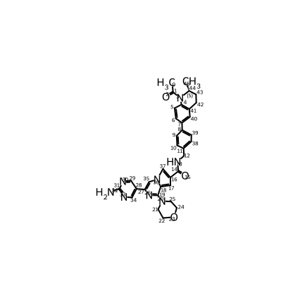 CC(=O)N1c2ccc(-c3ccc(CNC(=O)c4cc5c(N6CCOCC6)nc(-c6cnc(N)nc6)cn5c4)cc3)cc2CC[C@@H]1C